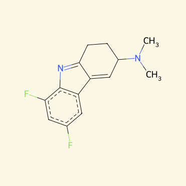 CN(C)C1C=C2C(=Nc3c(F)cc(F)cc32)CC1